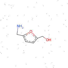 NCc1ccc(CO)o1